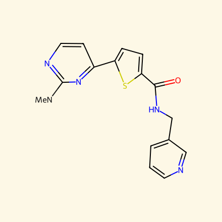 CNc1nccc(-c2ccc(C(=O)NCc3cccnc3)s2)n1